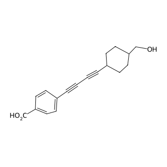 O=C(O)c1ccc(C#CC#CC2CCC(CO)CC2)cc1